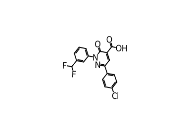 O=C(O)c1cc(-c2ccc(Cl)cc2)nn(-c2cccc(C(F)F)c2)c1=O